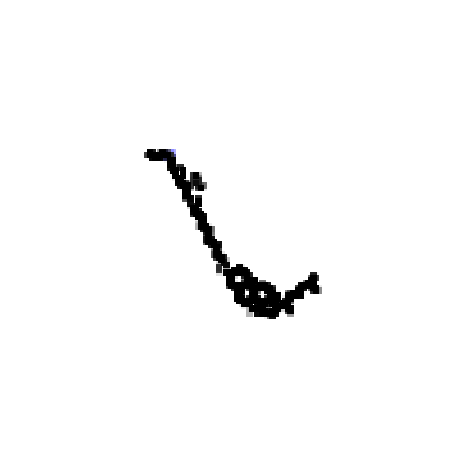 CC/C=C\COCC(COCCCCCCCCOC1CCC2(C)C(=CCC3C2CCC2(C)C(C(C)CCCC(C)C)CC[C@@H]32)C1)N(C)C